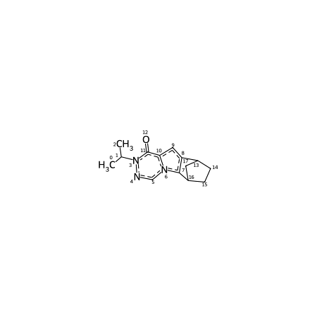 CC(C)n1ncn2c3c(cc2c1=O)C1CCC3C1